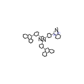 C=N/C=c1/cccc/c1=C(/C)c1ccc(-c2cc(-c3cccc(-c4cc5ccccc5c5ccccc45)c3)nc(-c3cccc(-c4cc5ccccc5c5ccccc45)c3)n2)cc1